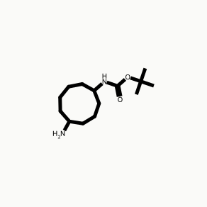 CC(C)(C)OC(=O)NC1CCCCC(N)CCC1